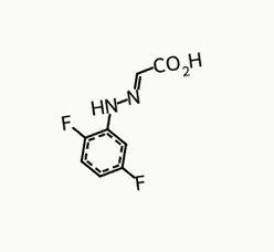 O=C(O)C=NNc1cc(F)ccc1F